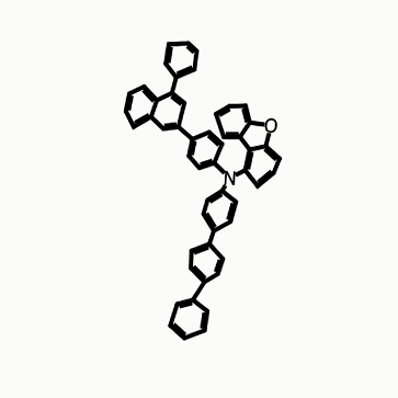 c1ccc(-c2ccc(-c3ccc(N(c4ccc(-c5cc(-c6ccccc6)c6ccccc6c5)cc4)c4cccc5oc6ccccc6c45)cc3)cc2)cc1